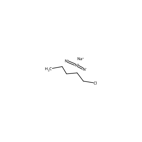 CCCCCCl.[N-]=[N+]=[N-].[Na+]